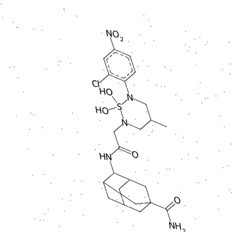 CC1CN(CC(=O)NC2C3CC4CC2CC(C(N)=O)(C4)C3)S(O)(O)N(c2ccc([N+](=O)[O-])cc2Cl)C1